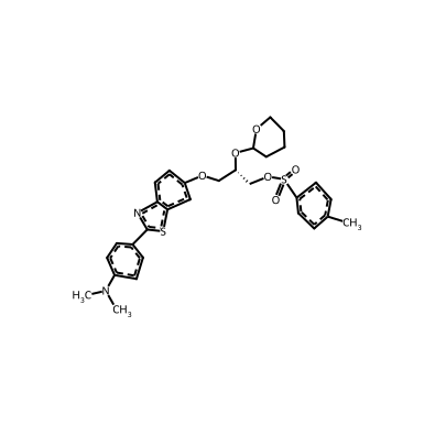 Cc1ccc(S(=O)(=O)OC[C@H](COc2ccc3nc(-c4ccc(N(C)C)cc4)sc3c2)OC2CCCCO2)cc1